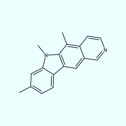 Cc1ccc2c3cc4cnccc4c(C)c3n(C)c2c1